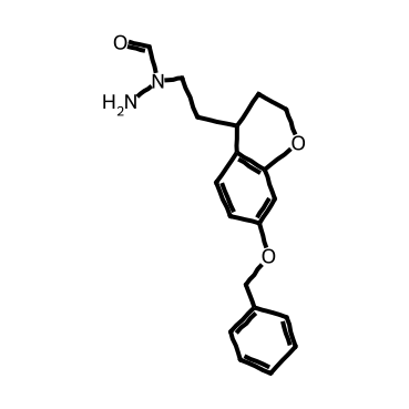 NN(C=O)CCC1CCOc2cc(OCc3ccccc3)ccc21